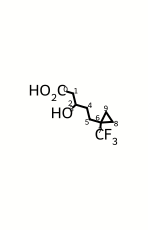 O=C(O)CC(O)CCC1(C(F)(F)F)CC1